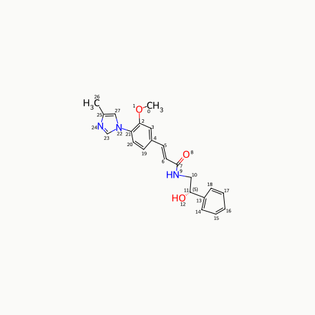 COc1cc(C=CC(=O)NC[C@@H](O)c2ccccc2)ccc1-n1cnc(C)c1